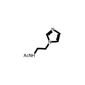 CC(=O)NCCn1c[c]nc1